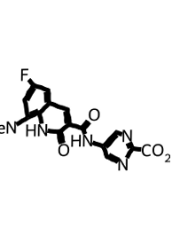 CCOC(=O)c1ncc(NC(=O)c2cc3cc(F)cc(NC)c3[nH]c2=O)cn1